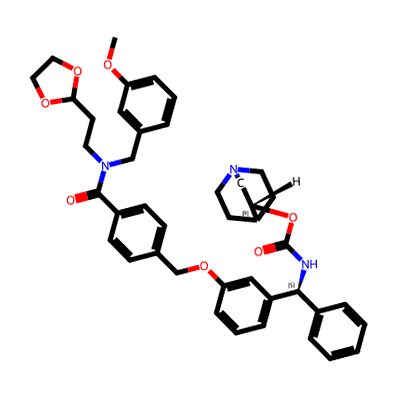 COc1cccc(CN(CCC2OCCO2)C(=O)c2ccc(COc3cccc([C@@H](NC(=O)O[C@H]4CN5CCC4CC5)c4ccccc4)c3)cc2)c1